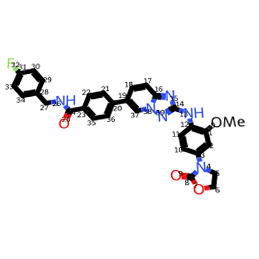 COc1cc(N2CCOC2=O)ccc1Nc1nc2ccc(-c3ccc(C(=O)NCc4ccc(F)cc4)cc3)cn2n1